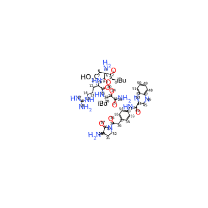 CC[C@H](C)CC(=O)[C@](N)(CC(=O)O)C(=O)N[C@H](CCCNC(=N)N)C(=O)N[C@H](C(=O)C(N)=O)[C@@H](C)CC.N[C@@H]1CCN(C(=O)Cc2ccc(NC(=O)c3cnc4ccccc4n3)cc2)C1=O